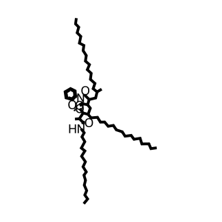 CCCCCCCCCCCCCCCCNC(=O)C(C)C(OC=O)C(CCCCCCCCCCCCCCCC)CC1C(=O)N(c2ccccc2)C(=O)C1CC(C)CCCCCCCCCCCCCCCC